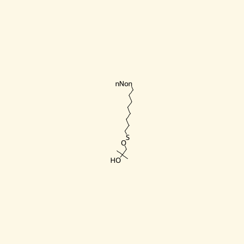 CCCCCCCCCCCCCCCCCSOCC(C)(C)O